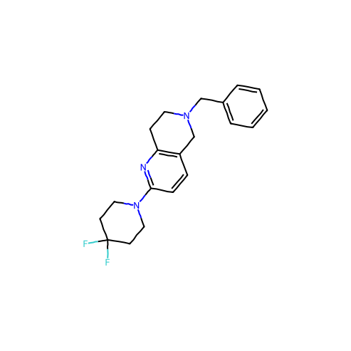 FC1(F)CCN(c2ccc3c(n2)CCN(Cc2ccccc2)C3)CC1